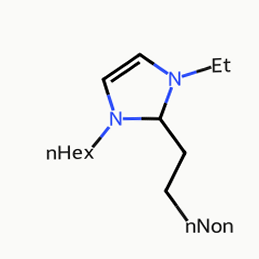 CCCCCCCCCCCC1N(CC)C=CN1CCCCCC